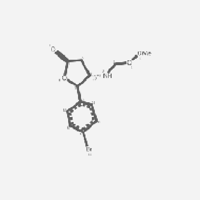 COOCN[C@H]1CC(=O)OC1c1ccc(Br)cc1